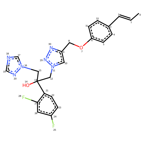 CC=Cc1ccc(OCc2cn(CC(O)(Cn3cncn3)c3ccc(F)cc3F)nn2)cc1